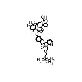 C[C@@]1(c2cc(F)cc(F)c2)CN(C(=O)O)C2(CCCC2)C(=O)N1CC(=O)Oc1ccc2c(c1)C[C@@]1(C2)C(=O)N(COCC[Si](C)(C)C)c2ncccc21